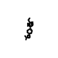 CCc1nc(-c2ccc(OC(C)C)cc2)cs1